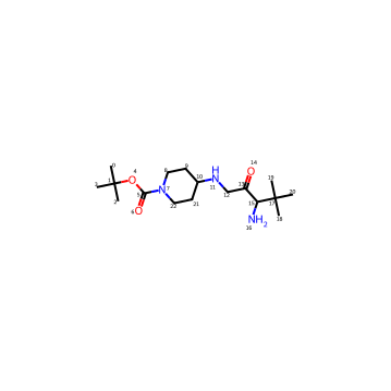 CC(C)(C)OC(=O)N1CCC(NCC(=O)C(N)C(C)(C)C)CC1